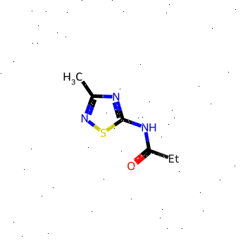 CCC(=O)Nc1nc(C)ns1